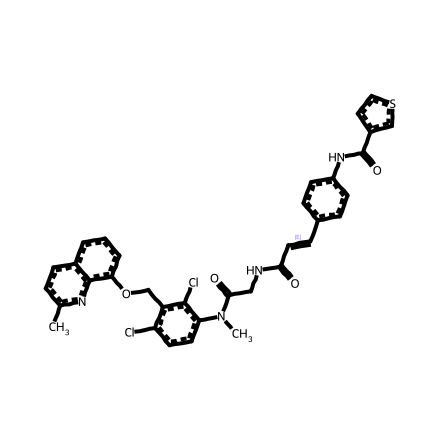 Cc1ccc2cccc(OCc3c(Cl)ccc(N(C)C(=O)CNC(=O)/C=C/c4ccc(NC(=O)c5ccsc5)cc4)c3Cl)c2n1